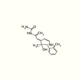 C=C(/C=C(\C=C/N)C(C)(O)Cc1ccccc1C)NC(N)=O